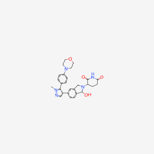 Cn1ncc(-c2ccc3c(c2)CN(C2CCC(=O)NC2=O)C3O)c1-c1ccc(N2CCOCC2)cc1